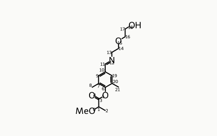 COC(C)C(=O)Oc1c(C)cc(/C=N/CCOCCO)cc1C